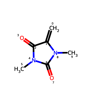 C=C1C(=O)N(C)C(=O)N1C